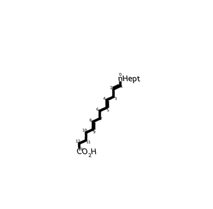 CCCCCCCC=CCC=CCCC=CCCCC(=O)O